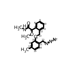 CNC(=O)C(OC)c1ccccc1COc1cc(C)ccc1CN=[N+]=[N-]